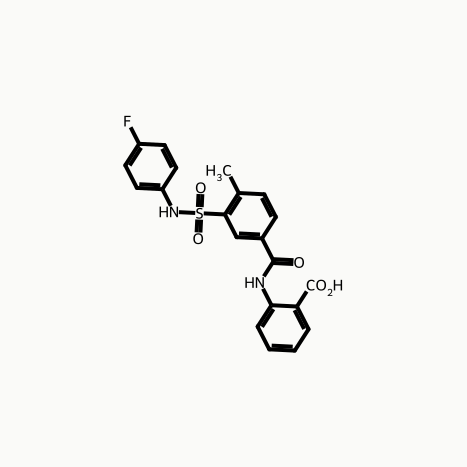 Cc1ccc(C(=O)Nc2ccccc2C(=O)O)cc1S(=O)(=O)Nc1ccc(F)cc1